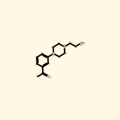 CC(=O)c1c[c]cc(N2CCN(CCO)CC2)c1